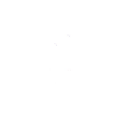 Clc1cn2ccnc2cc1OC1CC1